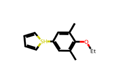 CCOc1c(C)cc([SH]2C=CC=C2)cc1C